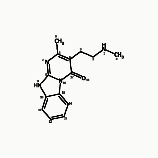 CNCCc1c(C)nc2[nH]c3ccccc3n2c1=O